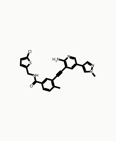 Cc1ccc(C(=O)NCc2ccc(Cl)s2)cc1C#Cc1cc(-c2cnn(C)c2)cnc1N